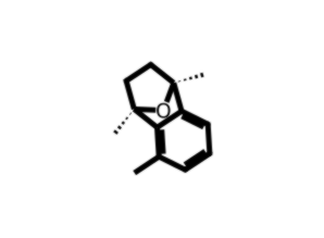 Cc1cccc2c1[C@@]1(C)CC[C@]2(C)O1